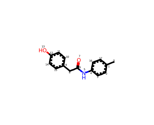 Cc1ccc(NC(=O)Cc2ccc(O)cc2)cc1